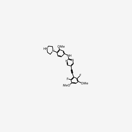 COc1cc(Nc2ncc(C#Cc3c(F)c(OC)cc(OC)c3F)cn2)ccc1N1CCNCC1